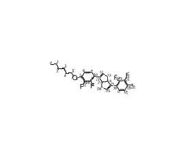 CCCCCCOc1ccc(C2=CCC3C(c4ccc(C)c(F)c4F)=CCC23)c(F)c1F